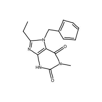 CCc1nc2[nH]c(=O)n(C)c(=O)c2n1Cc1ccccc1